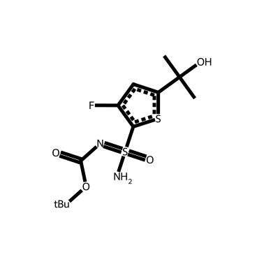 CC(C)(C)OC(=O)N=S(N)(=O)c1sc(C(C)(C)O)cc1F